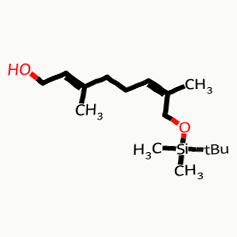 CC(=CCC/C(C)=C/CO)CO[Si](C)(C)C(C)(C)C